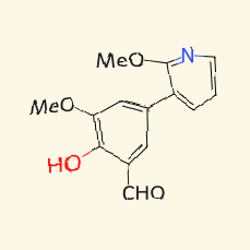 COc1cc(-c2cccnc2OC)cc(C=O)c1O